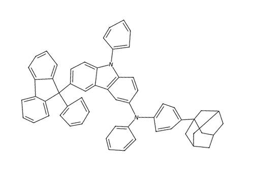 c1ccc(N(c2ccc(C34CC5CC(CC(C5)C3)C4)cc2)c2ccc3c(c2)c2cc(C4(c5ccccc5)c5ccccc5-c5ccccc54)ccc2n3-c2ccccc2)cc1